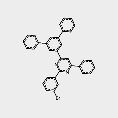 Brc1cccc(-c2nc(-c3ccccc3)cc(-c3cc(-c4ccccc4)cc(-c4ccccc4)c3)n2)c1